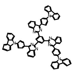 c1ccc2c(-c3ccc(-n4c5ccccc5c5ccccc54)cc3)nc(-c3cc(-c4nc(-c5ccc(-n6c7ccccc7c7ccccc76)cc5)c5ccccc5n4)cc(-c4nc(-c5ccc(-n6c7ccccc7c7ccccc76)cc5)c5ccccc5n4)c3)nc2c1